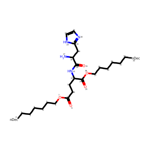 CCCCCCCCCCCCCCCCOC(=O)CCC(NC(=O)C(N)Cc1ncc[nH]1)C(=O)OCCCCCCCCCCCCCCCC